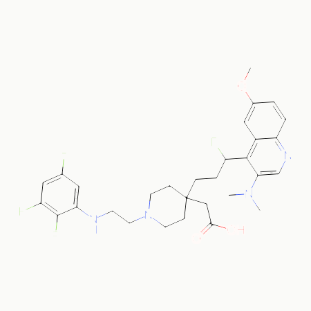 COc1ccc2ncc(N(C)C)c(C(F)CCC3(CC(=O)O)CCN(CCNc4cc(F)cc(F)c4F)CC3)c2c1